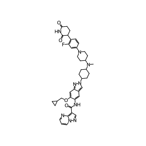 CN(C1CCC(n2cc3cc(NC(=O)c4cnn5cccnc45)c(OCC4CC4)cc3n2)CC1)C1CCN(c2ccc(C3CCC(=O)NC3=O)c(F)c2)CC1